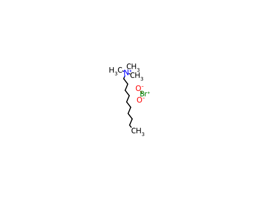 CCCCCCCCCC[N+](C)(C)C.[O-][Br+][O-]